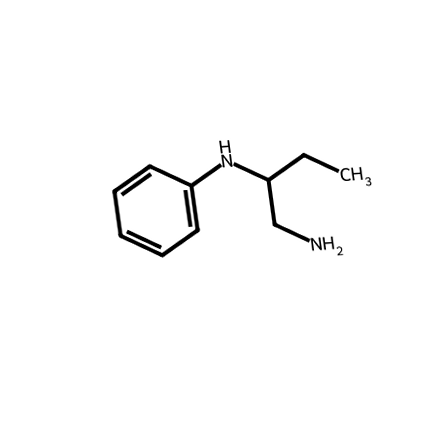 CCC(CN)Nc1ccccc1